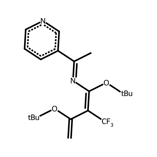 C=C(OC(C)(C)C)/C(=C(\N=C(/C)c1cccnc1)OC(C)(C)C)C(F)(F)F